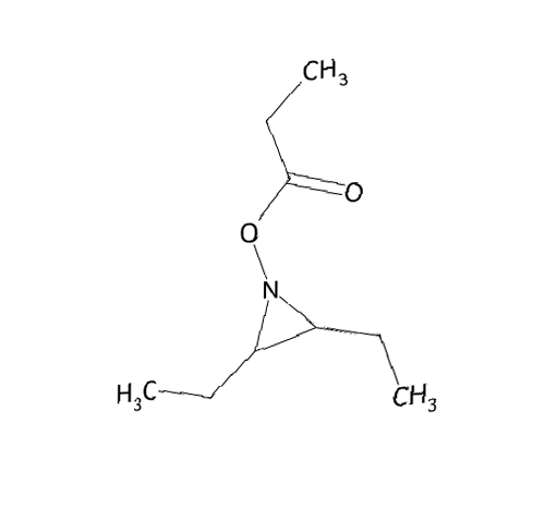 CCC(=O)ON1C(CC)C1CC